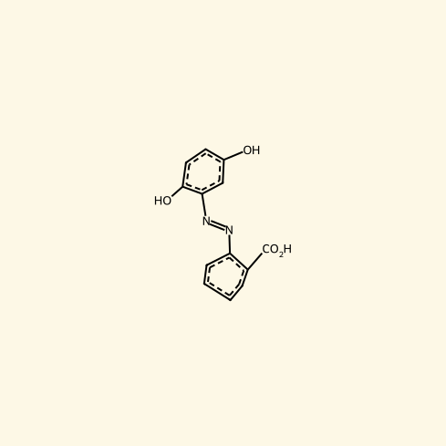 O=C(O)c1ccccc1N=Nc1cc(O)ccc1O